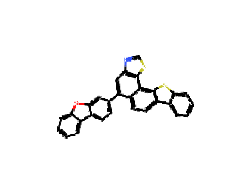 c1ccc2c(c1)oc1cc(-c3cc4ncsc4c4c3ccc3c5ccccc5sc34)ccc12